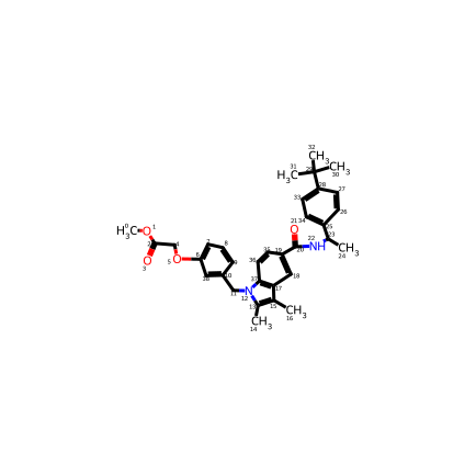 COC(=O)COc1cccc(Cn2c(C)c(C)c3cc(C(=O)NC(C)c4ccc(C(C)(C)C)cc4)ccc32)c1